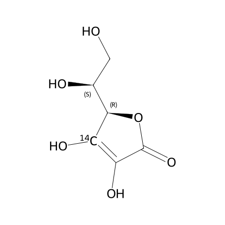 O=C1O[C@H]([C@@H](O)CO)[14C](O)=C1O